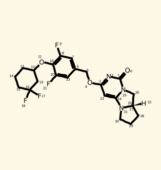 O=c1nc(OCc2cc(F)c(OC3CCCC(F)(F)C3)c(F)c2)cc2n1C[C@@H]1CCCN21